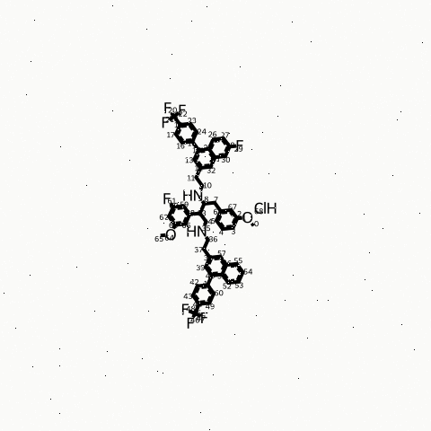 COc1cccc(CC(NCCc2cc(-c3ccc(C(F)(F)F)cc3)c3ccc(F)cc3c2)C(CNCCc2cc(-c3ccc(C(F)(F)F)cc3)c3ccccc3c2)c2cc(F)cc(OC)c2)c1.Cl